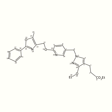 CCOC(=O)CCc1cn(Cc2ccc(OCc3nc(-c4ccccc4)oc3C)nc2)nc1OCC